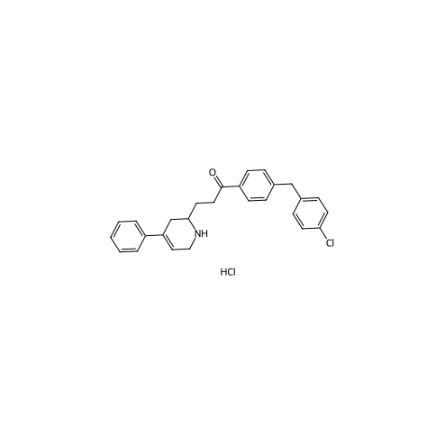 Cl.O=C(CCC1CC(c2ccccc2)=CCN1)c1ccc(Cc2ccc(Cl)cc2)cc1